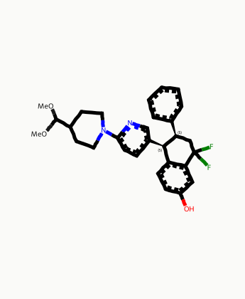 COC(OC)C1CCN(c2ccc([C@@H]3c4ccc(O)cc4C(F)(F)C[C@@H]3c3ccccc3)cn2)CC1